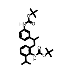 CC(C)c1cccc(CC(C)c2cccc(NC(=O)OC(C)(C)C)c2)c1NC(=O)OC(C)(C)C